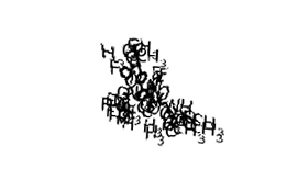 CC(C)(C)OC(=O)C[C@H](NC(=O)/C=C/C(=O)N(c1nn(CC(F)(F)F)c2c(-c3ccc(C#CC(C)(C)S(C)(=O)=O)nc3[C@H](Cc3cc(F)cc(F)c3)NC(=O)Cn3nc(C(F)(F)F)c4c3C(F)(F)[C@@H]3C[C@H]43)ccc(Cl)c12)S(C)(=O)=O)C(=O)OC(C)(C)C